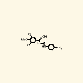 COc1c(Cl)cc(C(=O)NC(=S)Nc2ccc(N)cc2)cc1Cl.Cl